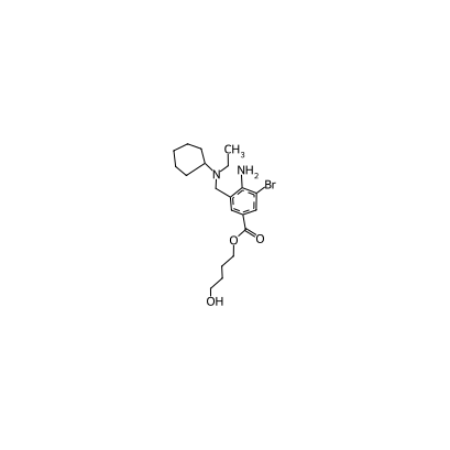 CCN(Cc1cc(C(=O)OCCCCO)cc(Br)c1N)C1CCCCC1